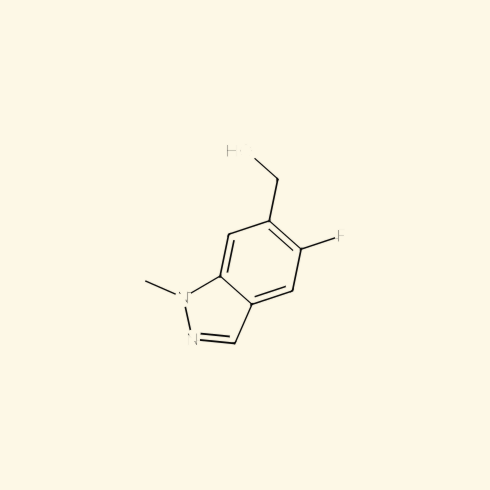 Cn1ncc2cc(F)c(CO)cc21